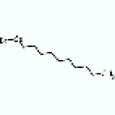 CCCCCCCCCC[Se]Br